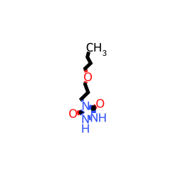 CCCCOCCCn1c(=O)[nH][nH]c1=O